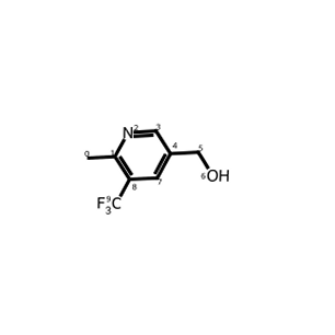 Cc1ncc(CO)cc1C(F)(F)F